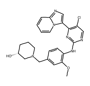 COc1cc(CN2CCC[C@@H](O)C2)ccc1Nc1ncc(Cl)c(-c2cnc3ccccn23)n1